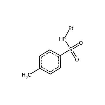 CCPS(=O)(=O)c1ccc(C)cc1